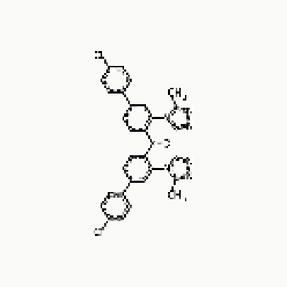 Cc1nncn1-c1cc(-c2ccc(Cl)cc2)ccc1C(=O)c1ccc(-c2ccc(Cl)cc2)cc1-n1cnnc1C